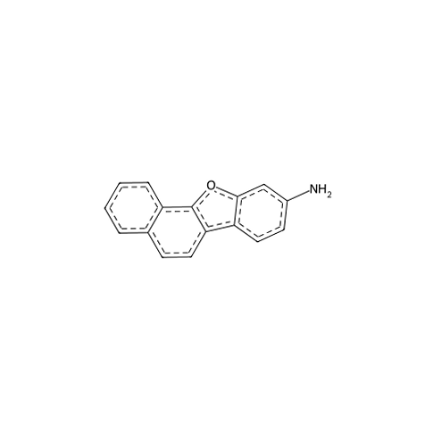 Nc1ccc2c(c1)oc1c3ccccc3ccc21